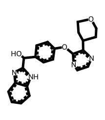 OC(c1ccc(Oc2nccnc2C2CCOCC2)cc1)c1nc2ccccc2[nH]1